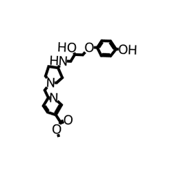 COC(=O)c1ccc(CN2CCC(NCC(O)COc3ccc(O)cc3)CC2)nc1